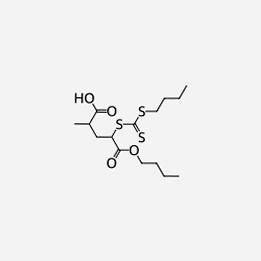 CCCCOC(=O)C(CC(C)C(=O)O)SC(=S)SCCCC